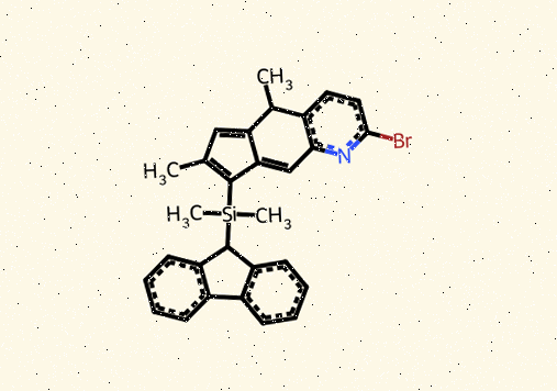 CC1=C([Si](C)(C)C2c3ccccc3-c3ccccc32)C2=Cc3nc(Br)ccc3C(C)C2=C1